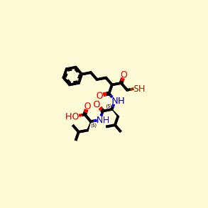 CC(C)C[C@H](NC(=O)[C@H](CC(C)C)NC(=O)C(CCCc1ccccc1)C(=O)CS)C(=O)O